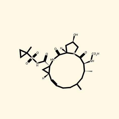 CC1CCC=C[C@@H]2C[C@@]2(C(=O)NS(=O)(=O)C2(C)CC2)NC(=O)[C@@H]2C[C@@H](O)CN2C(=O)[C@@H](NC(=O)O)[C@H](C)C1